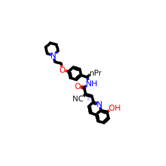 CCCC(NC(=O)/C(C#N)=C/c1ccc2cccc(O)c2n1)c1ccc(OCCN2CCCCC2)cc1